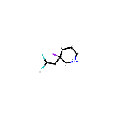 FC(F)CC1(I)CCCNC1